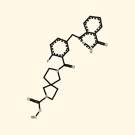 CC(C)(C)OC(=O)N1CCC2(CCN(C(=O)c3cc(Cc4n[nH]c(=O)c5ccccc45)ccc3F)C2)C1